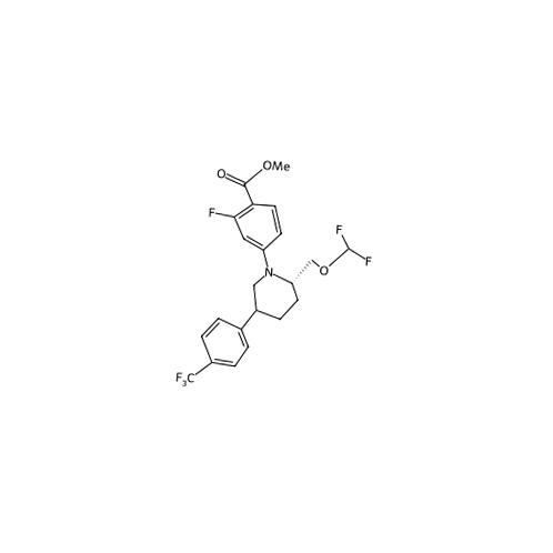 COC(=O)c1ccc(N2CC(c3ccc(C(F)(F)F)cc3)CC[C@H]2COC(F)F)cc1F